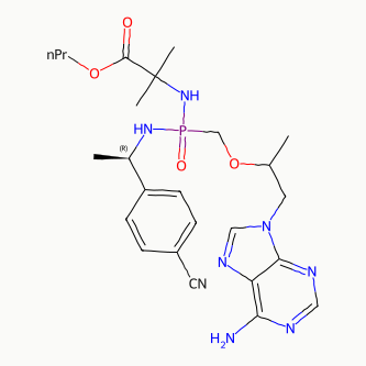 CCCOC(=O)C(C)(C)NP(=O)(COC(C)Cn1cnc2c(N)ncnc21)N[C@H](C)c1ccc(C#N)cc1